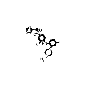 CN1CCN(c2cc(F)ccc2Nc2ccc(S(=O)(=O)Nc3cscn3)cc2Cl)CC1